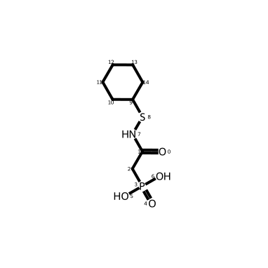 O=C(CP(=O)(O)O)NSC1CCCCC1